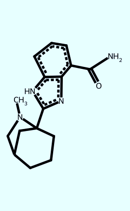 CN1CC2CCCC1(c1nc3c(C(N)=O)cccc3[nH]1)C2